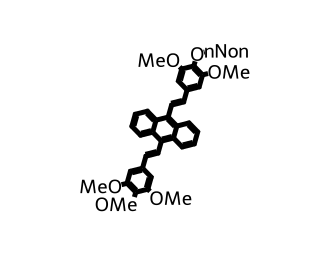 CCCCCCCCCOc1c(OC)cc(/C=C/c2c3ccccc3c(/C=C/c3cc(OC)c(OC)c(OC)c3)c3ccccc23)cc1OC